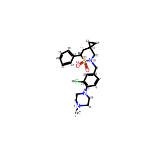 CC(=O)N1CCN(c2ccc(CN3CC4(CC4)CC(c4ccccc4)S3(=O)=O)cc2F)CC1